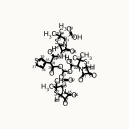 CC1(C)S[C@@H]2C(=O)C(=O)N2[C@H]1C(=O)OC(OC(=O)C(C(=O)NC1C(=O)N2[C@@H]1SC(C)(C)[C@@H]2C(=O)O)c1ccsc1)OC(=O)[C@@H]1N2C(=O)C(=O)[C@H]2SC1(C)C